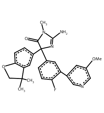 COc1cncc(-c2cc(C3(c4ccc5c(c4)C(C)(C)CO5)N=C(N)N(C)C3=O)ccc2F)c1